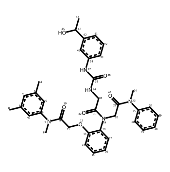 Cc1cc(C)cc(N(C)C(=O)COc2ccccc2N(CC(=O)N(C)c2ccccc2)C(=O)CNC(=O)Nc2cccc(C(C)O)c2)c1